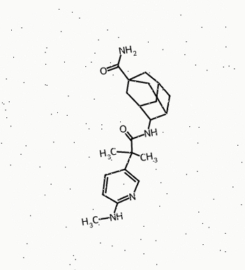 CNc1ccc(C(C)(C)C(=O)NC2C3CC4CC2CC(C(N)=O)(C4)C3)cn1